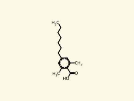 CCCCCCCc1cc(C)c(C(=O)O)c(C)c1